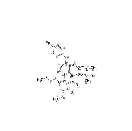 CCCCOc1c(C(=O)OCC)c(=O)n2c3c(c(Cc4ccc(F)cc4)cnc13)O[C@@H](CN(C)S(C)(=O)=O)C2